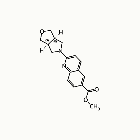 COC(=O)c1ccc2nc(N3C[C@H]4COC[C@H]4C3)ccc2c1